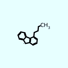 CCCCc1cccc2c1-c1ccccc1[CH]2